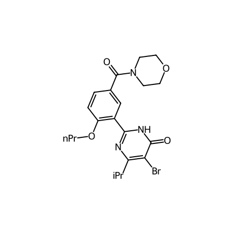 CCCOc1ccc(C(=O)N2CCOCC2)cc1-c1nc(C(C)C)c(Br)c(=O)[nH]1